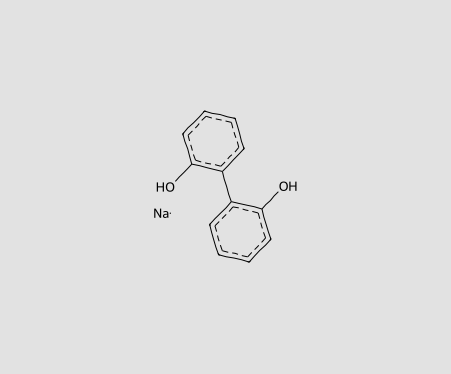 Oc1ccccc1-c1ccccc1O.[Na]